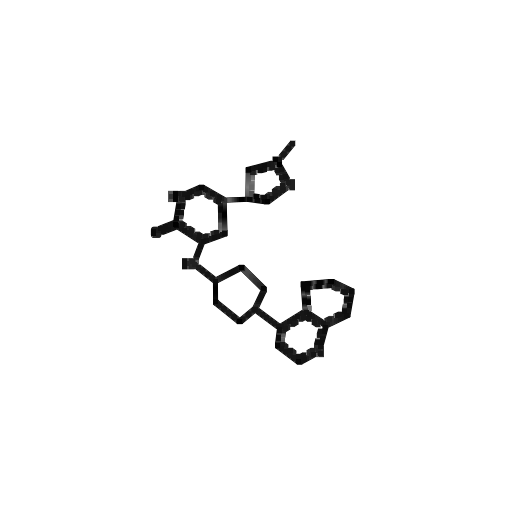 Cn1cc(-c2c[nH]c(=O)c(NC3CCC(c4ccnc5ccccc45)CC3)c2)cn1